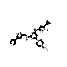 CN1CCN(c2cc(Nc3cc(C4CC4)[nH]n3)nc(NCc3cc(C4=COCC4)no3)n2)CC1